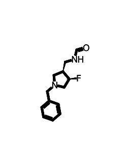 O=CNC[C@@H]1CN(Cc2ccccc2)C[C@@H]1F